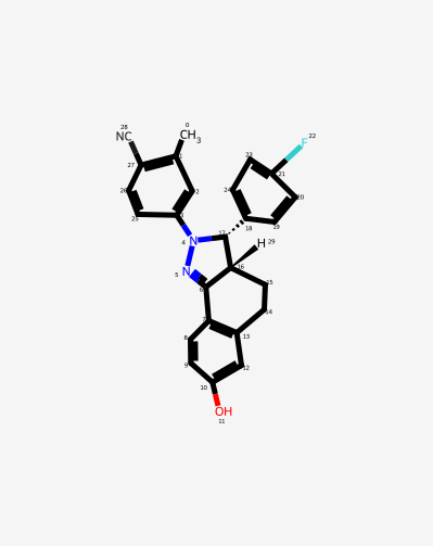 Cc1cc(N2N=C3c4ccc(O)cc4CC[C@H]3[C@H]2c2ccc(F)cc2)ccc1C#N